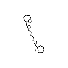 C(CCOCC1CCCCCO1)CCOCC1CCCCCO1